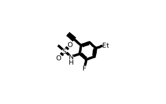 C#Cc1cc(CC)cc(F)c1NS(C)(=O)=O